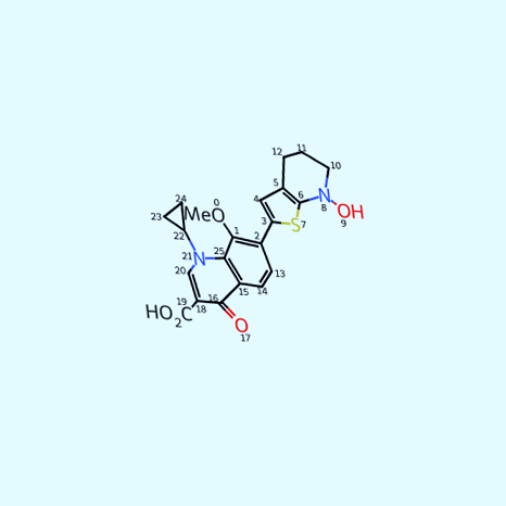 COc1c(-c2cc3c(s2)N(O)CCC3)ccc2c(=O)c(C(=O)O)cn(C3CC3)c12